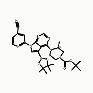 C[C@H]1CN(C(=O)OC(C)(C)C)CCN1c1ncnc2c1c(B1OC(C)(C)C(C)(C)O1)cn2-c1cc(C#N)ccn1